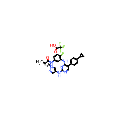 C=CC(=O)Nc1ccc(F)c(Nc2nc(Nc3cnn(C)c3)ncc2-c2ccc(C3CC3)cc2)c1.O=C(O)C(F)(F)F